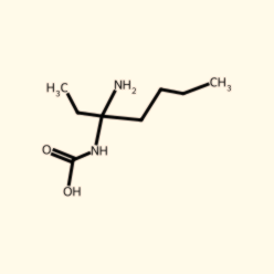 CCCCC(N)(CC)NC(=O)O